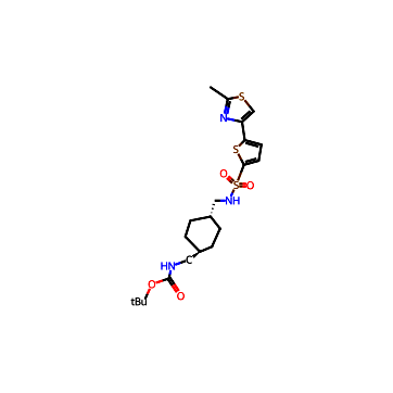 Cc1nc(-c2ccc(S(=O)(=O)NC[C@H]3CC[C@H](CNC(=O)OC(C)(C)C)CC3)s2)cs1